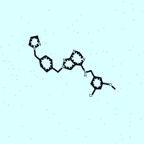 COc1cc(Cl)cc(CNc2ncnc3nn(Cc4ccc(Cn5cccn5)cc4)cc23)c1